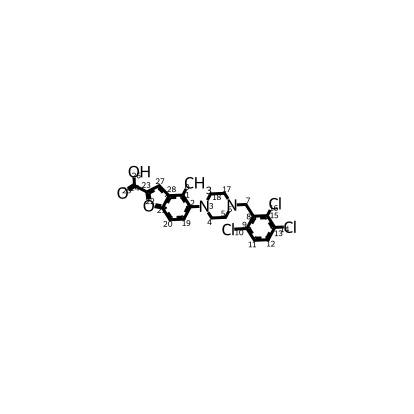 Cc1c(N2CCN(Cc3c(Cl)ccc(Cl)c3Cl)CC2)ccc2oc(C(=O)O)cc12